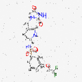 O=C1CN(Cc2ccc(CNS(=O)(=O)c3cccc(OCC(F)F)c3)nc2)C(=O)N1